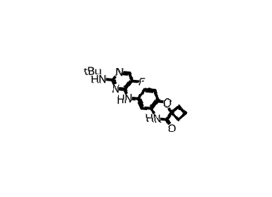 CC(C)(C)Nc1ncc(F)c(Nc2ccc3c(c2)NC(=O)C2(CCC2)O3)n1